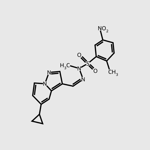 Cc1ccc([N+](=O)[O-])cc1S(=O)(=O)N(C)/N=C\c1cnn2ccc(C3CC3)cc12